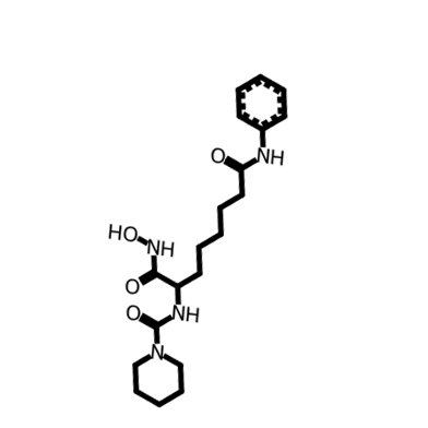 O=C(CCCCCC(NC(=O)N1CCCCC1)C(=O)NO)Nc1ccccc1